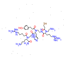 N=C(N)NCCCCC(=O)N(CCNC(=O)C(Cc1cnc[nH]1)N(CCNC(=O)C(CCCNC(=N)N)N(CCN)C(=O)CCS)C(=O)CCc1ccc(O)cc1)C(CCCCN)C(N)=O